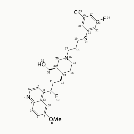 COc1ccc2nccc(C(F)CC[C@@H]3CCN(CCCSc4cc(F)cc(Cl)c4)C[C@@H]3CO)c2c1